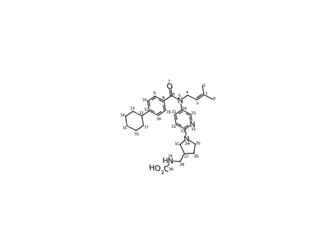 CC(C)=CCN(C(=O)c1ccc(C2CCCCC2)cc1)c1ccc(N2CCC(CNC(=O)O)C2)nc1